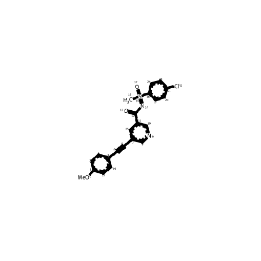 COc1ccc(C#Cc2cncc(C(=O)N=S(C)(=O)c3ccc(Cl)cc3)c2)cc1